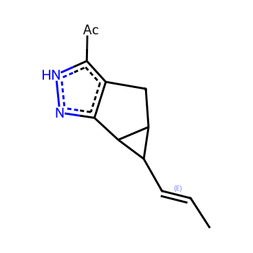 C/C=C/C1C2Cc3c(n[nH]c3C(C)=O)C12